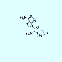 Nc1ncnc2c1ncn2[C@@H]1O[C@H](CO)[C@@H](O)[C@@H]1N